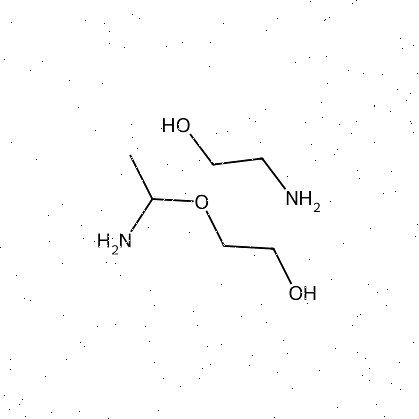 CC(N)OCCO.NCCO